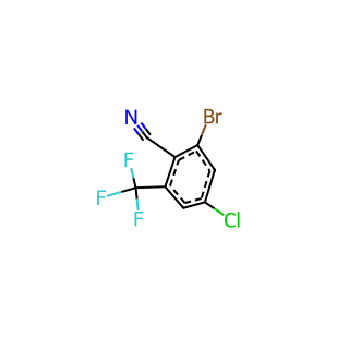 N#Cc1c(Br)cc(Cl)cc1C(F)(F)F